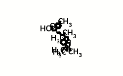 CC[Si](CC)(CC)O[C@@H]1CCC[C@@]2(C)C(C(C)CCC[C@@H](CC(=O)O)c3ccc(C)cc3)CC[C@H]12